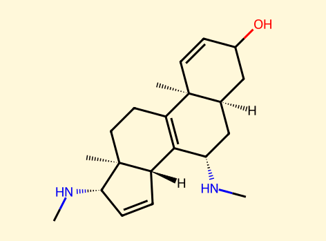 CN[C@H]1C[C@@H]2CC(O)C=C[C@]2(C)C2=C1[C@@H]1C=C[C@H](NC)[C@@]1(C)CC2